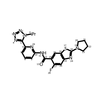 CC(C)n1nnnc1-c1cccc(NC(=O)c2cc3sc(N4CCCC4)nc3cc2F)n1